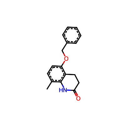 Cc1ccc(OCc2ccccc2)c2c1NC(=O)CC2